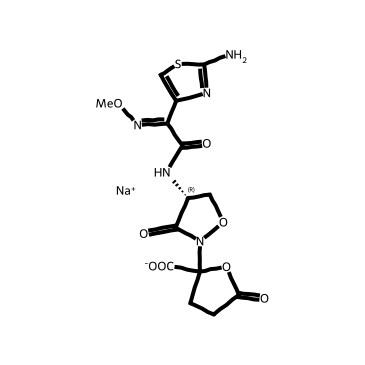 CON=C(C(=O)N[C@@H]1CON(C2(C(=O)[O-])CCC(=O)O2)C1=O)c1csc(N)n1.[Na+]